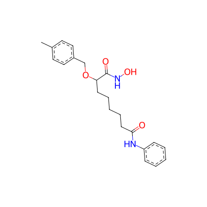 Cc1ccc(COC(CCCCCC(=O)Nc2ccccc2)C(=O)NO)cc1